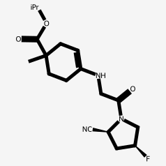 CC(C)OC(=O)C1(C)CC=C(NCC(=O)N2C[C@@H](F)C[C@H]2C#N)CC1